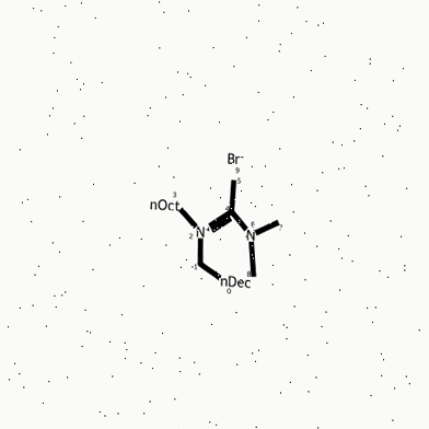 CCCCCCCCCCC[N+](CCCCCCCC)=C(C)N(C)C.[Br-]